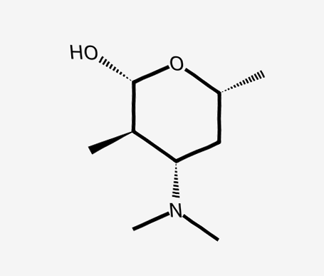 C[C@H]1[C@H](O)O[C@H](C)C[C@@H]1N(C)C